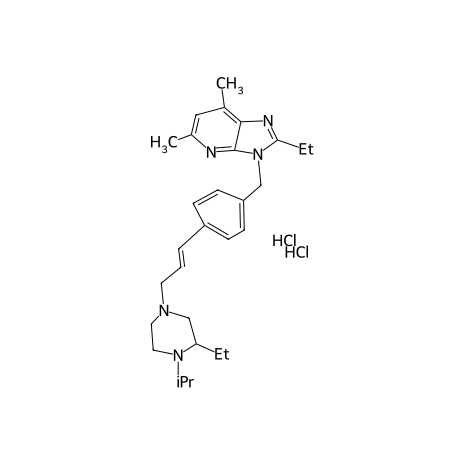 CCc1nc2c(C)cc(C)nc2n1Cc1ccc(/C=C/CN2CCN(C(C)C)C(CC)C2)cc1.Cl.Cl